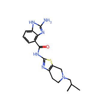 CC(C)CN1CCc2nc(NC(=O)c3cccc4[nH]c(N)nc34)sc2C1